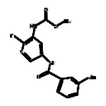 CC(C)(C)OC(=O)Nc1cc(NC(=O)c2cccc(C(C)(C)C)c2)cnc1Cl